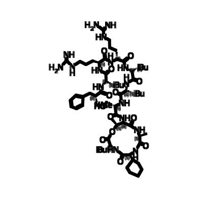 CC[C@@H](C)[C@@H](NC(=O)[C@@H](CCCNC(=N)N)NC(=O)[C@H](CCCNC(=N)N)NC(=O)[C@@H](NC(=O)[C@@H](Cc1ccccc1)NC)[C@@H](C)CC)C(=O)N[C@H](C(=O)N[C@@H](CO)C(=O)N[C@H]1C(=O)N[C@@H](C)C(=O)N[C@@H](C2CCCCC2)C(=O)N[C@@H]([C@@H](C)CC)C(=O)O[C@H]1C)[C@@H](C)CC